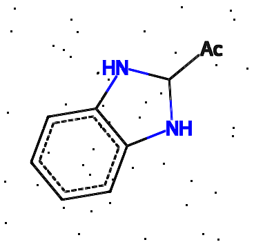 CC(=O)C1Nc2ccccc2N1